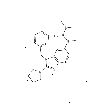 CN(C)C(=O)N(C)c1cnc2nc(N3CCCC3)n(Cc3ccccc3)c2c1